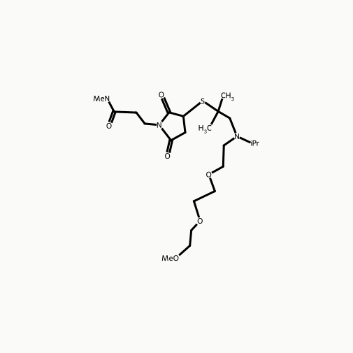 CNC(=O)CCN1C(=O)CC(SC(C)(C)CN(CCOCCOCCOC)C(C)C)C1=O